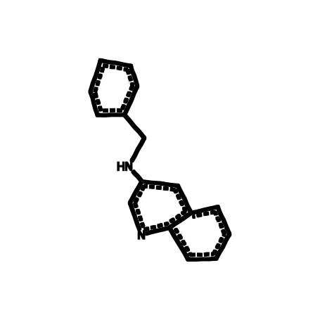 c1ccc(CNc2cnc3ccccc3c2)cc1